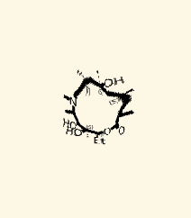 CC[C@H]1OC(=O)C(C)C[C@H](C)C[C@](C)(O)C[C@@H](C)CN(C)C(C)C(O)[C@]1(C)O